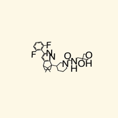 CC1(C)C2CCC1(C1CCCN(C(=O)NCC3(O)COC3)C1)c1nnc(-c3c(F)cccc3F)cc12